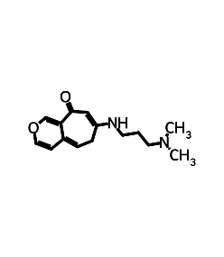 CN(C)CCCNC1=CC(=O)C2=COC=CC2=CC1